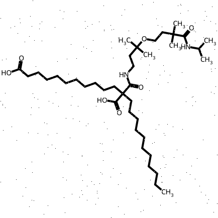 CCCCCCCCCCCC(CCCCCCCCCCC(=O)O)(C(=O)O)C(=O)NCCC(C)(C)OCCC(C)(C)C(=O)NC(C)C